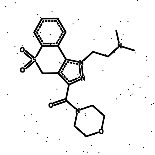 CN(C)CCn1nc(C(=O)N2CCOCC2)c2c1-c1ccccc1S(=O)(=O)C2